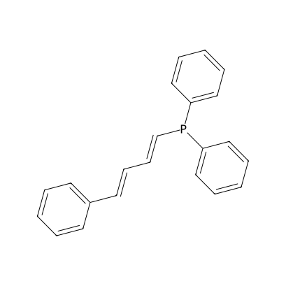 C(/C=C/P(c1ccccc1)c1ccccc1)=C\c1ccccc1